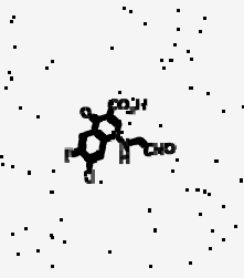 O=CCNn1cc(C(=O)O)c(=O)c2cc(F)c(Cl)cc21